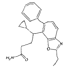 CCc1nc2ccc(-c3ccccc3)c(C(CCC(N)=O)C3CC3)c2o1